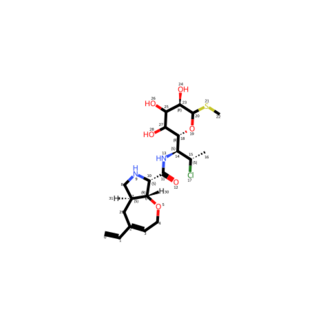 C=CC1=CCO[C@@H]2[C@H](CN[C@@H]2C(=O)N[C@H]([C@H](C)Cl)[C@H]2OC(SC)[C@H](O)C(O)C2O)C1